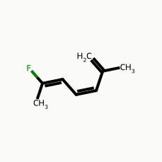 C=C(C)/C=C\C=C(/C)F